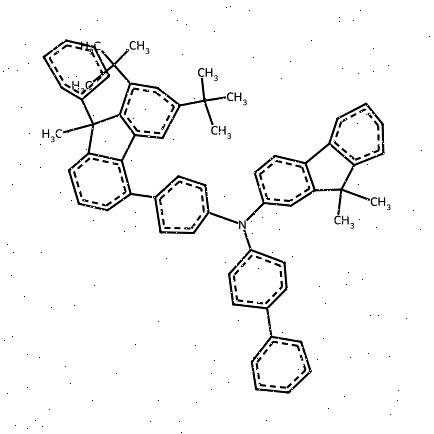 CC(C)(C)c1cc2c(c(C(C)(C)C)c1)C(C)(c1ccccc1)c1cccc(-c3ccc(N(c4ccc(-c5ccccc5)cc4)c4ccc5c(c4)C(C)(C)c4ccccc4-5)cc3)c1-2